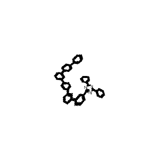 c1ccc(-c2ccc(-c3cccc(-c4ccc(-c5cccc(-c6cccc(-c7nc(-c8ccccc8)nc(-c8ccccc8)n7)c6)c5)cc4)c3)cc2)cc1